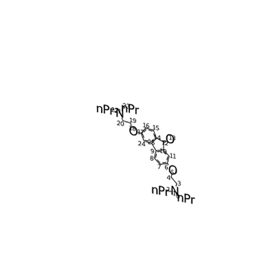 CCCN(CCC)CCOc1ccc2c(c1)C(=O)c1ccc(OCCN(CCC)CCC)cc1-2